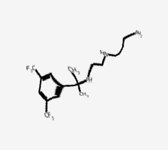 CC(C)(PCCNCCP)c1cc(C(F)(F)F)cc(C(F)(F)F)c1